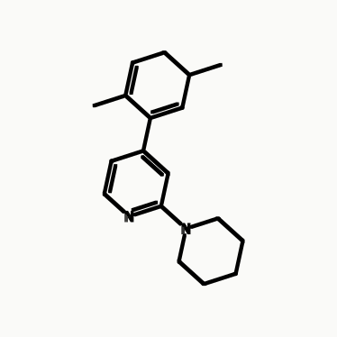 CC1=CCC(C)C=C1c1ccnc(N2CCCCC2)c1